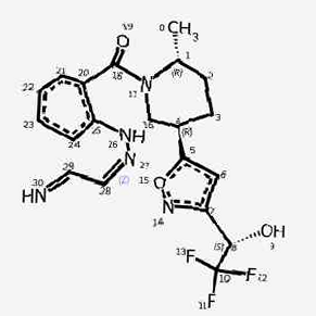 C[C@@H]1CC[C@@H](c2cc([C@H](O)C(F)(F)F)no2)CN1C(=O)c1ccccc1N/N=C\C=N